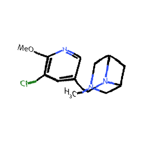 COc1ncc(CN2C3CC2CN(C)C3)cc1Cl